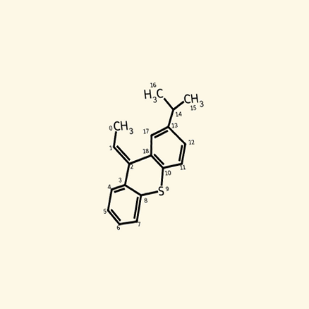 C/C=C1/c2ccccc2Sc2ccc(C(C)C)cc21